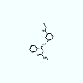 NC(=O)C/C(=N\Oc1cccc(NC=O)c1)c1ccccc1